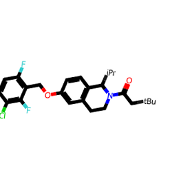 CC(C)C1c2ccc(OCc3c(F)ccc(Cl)c3F)cc2CCN1C(=O)CC(C)(C)C